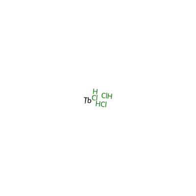 Cl.Cl.Cl.[Tb]